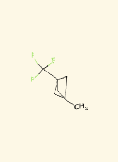 CC12CC(C(F)(F)F)(C1)C2